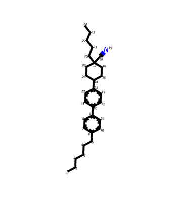 CCCCCCc1ccc(-c2ccc(C3CCC(C#N)(CCCCC)CC3)cc2)cc1